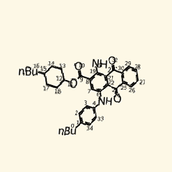 CCCCc1ccc(Nc2cc(C(=O)OC3CCC(CCCC)CC3)c(N)c3c2C(=O)c2ccccc2C3=O)cc1